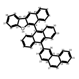 c1ccc2c(-c3c4ccccc4c(-c4ccc5ccc6ccccc6c5c4)c4ccccc34)c3oc4ccccc4c3cc2c1